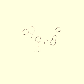 COc1cc(C(=O)N2CCCCc3ccccc32)ccc1C(=O)Nc1cccc2[nH]c(-n3ccnc3)nc12.Cl.Cl